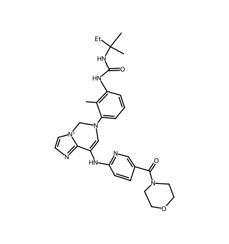 CCC(C)(C)NC(=O)Nc1cccc(N2C=C(Nc3ccc(C(=O)N4CCOCC4)cn3)C3=NC=C[N+]3C2)c1C